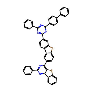 c1ccc(-c2ccc(-c3nc(-c4ccccc4)nc(-c4ccc5c(c4)sc4ccc(-c6nc(-c7ccccc7)nc7c6sc6ccccc67)cc45)n3)cc2)cc1